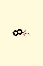 NS(=O)(=O)c1ccc2c[c]ccc2c1